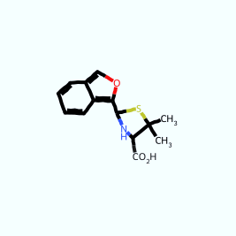 CC1(C)SC(c2occ3ccccc23)NC1C(=O)O